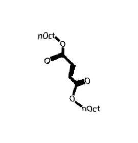 CCCCCCCCOC(=O)/C=C/C(=O)OCCCCCCCC